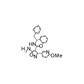 COc1ccc(-c2noc(N)c2C(=O)NC(Cc2ccccc2)c2ccccc2)cn1